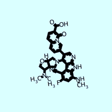 CNc1cc(F)c(C#N)c2c1[nH]c1ncc(-c3ccc4ccc(C(=O)O)c(=O)n4c3)c(N3CC4C(N(C)C)CO[C@@H]4C3)c12